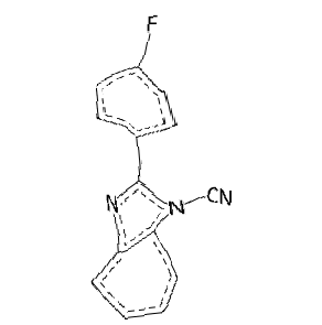 N#Cn1c(-c2ccc(F)cc2)nc2ccccc21